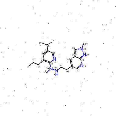 CCCc1cc(C(C)C)cnc1N(C)NCCc1cnc2nn(C)cc2c1